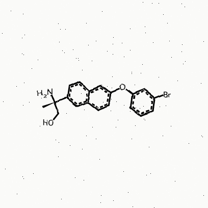 C[C@](N)(CO)c1ccc2cc(Oc3cccc(Br)c3)ccc2c1